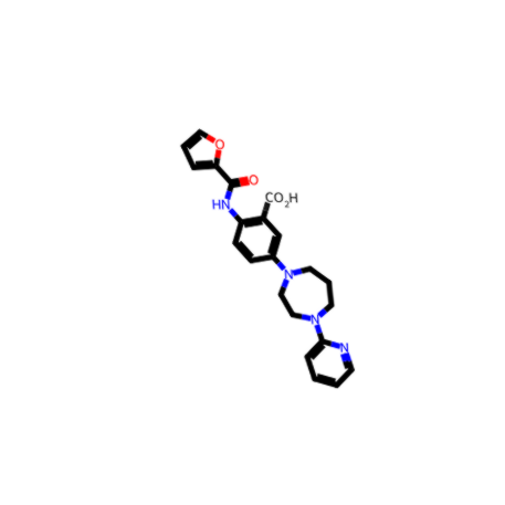 O=C(Nc1ccc(N2CCCN(c3ccccn3)CC2)cc1C(=O)O)c1ccco1